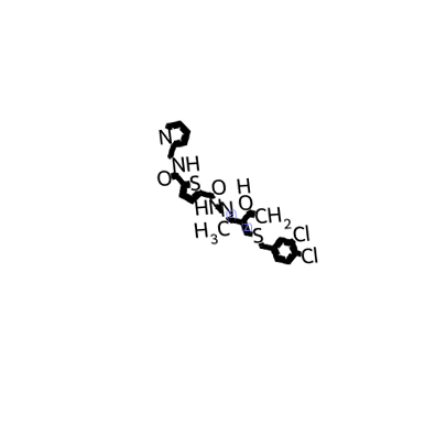 C=C(O)C(=C\SCc1ccc(Cl)c(Cl)c1)/C(C)=N/NC(=O)c1ccc(C(=O)NCc2ccccn2)s1